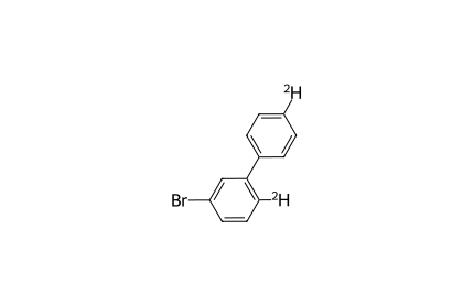 [2H]c1ccc(-c2cc(Br)ccc2[2H])cc1